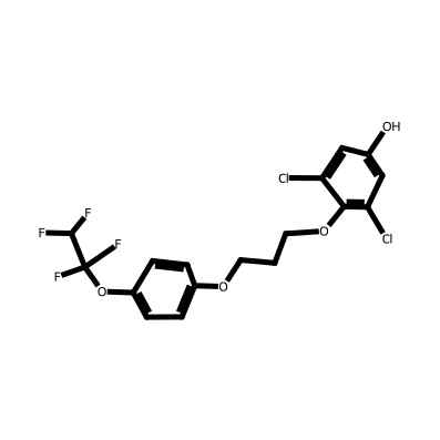 Oc1cc(Cl)c(OCCCOc2ccc(OC(F)(F)C(F)F)cc2)c(Cl)c1